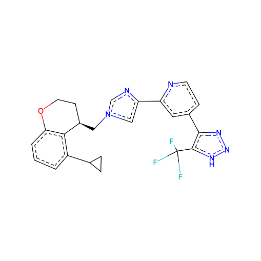 FC(F)(F)c1[nH]nnc1-c1ccnc(-c2cn(C[C@@H]3CCOc4cccc(C5CC5)c43)cn2)c1